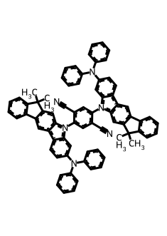 CC1(C)c2ccccc2-c2cc3c4ccc(N(c5ccccc5)c5ccccc5)cc4n(-c4cc(C#N)c(-n5c6cc(N(c7ccccc7)c7ccccc7)ccc6c6cc7c(cc65)C(C)(C)c5ccccc5-7)cc4C#N)c3cc21